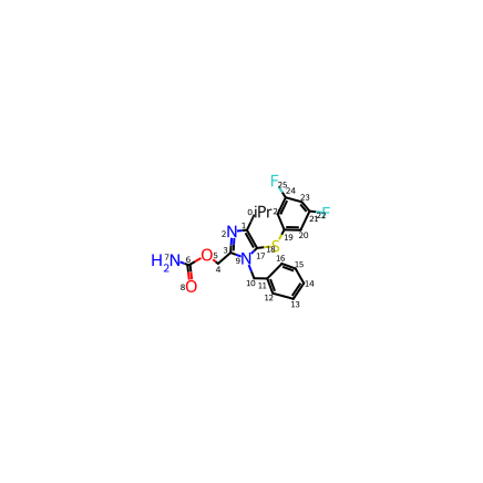 CC(C)c1nc(COC(N)=O)n(Cc2ccccc2)c1Sc1cc(F)cc(F)c1